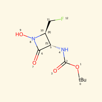 CC(C)(C)OC(=O)N[C@@H]1C(=O)N(O)[C@H]1CF